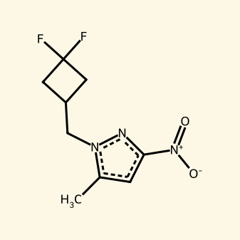 Cc1cc([N+](=O)[O-])nn1CC1CC(F)(F)C1